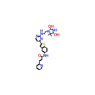 CC1(C)C(O)NC(O)N1CCNc1nccc(-c2cc3cc(NC(=O)C=Cc4ccccn4)ccc3s2)n1